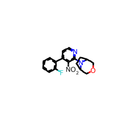 O=[N+]([O-])c1c(-c2ccccc2F)ccnc1N1C2CCC1COC2